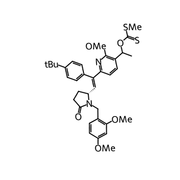 COc1ccc(CN2C(=O)CC[C@@H]2/C=C(\c2ccc(C(C)(C)C)cc2)c2ccc(C(C)OC(=S)SC)c(OC)n2)c(OC)c1